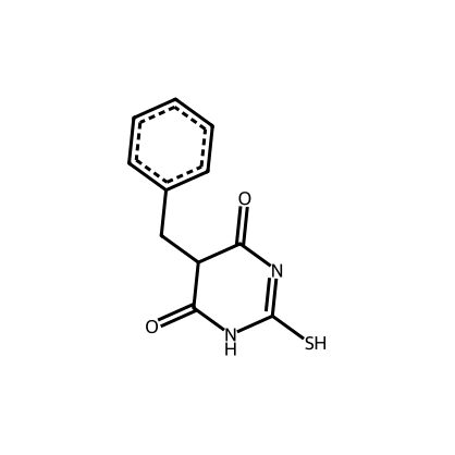 O=C1N=C(S)NC(=O)C1Cc1ccccc1